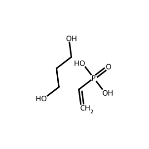 C=CP(=O)(O)O.OCCCO